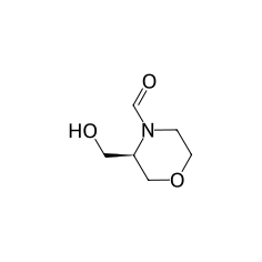 O=CN1CCOC[C@H]1CO